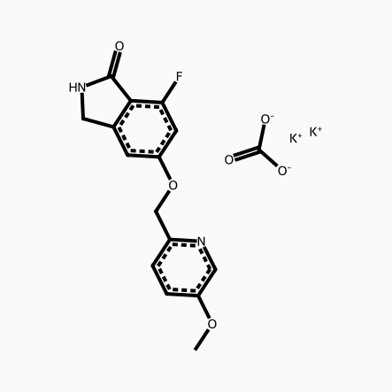 COc1ccc(COc2cc(F)c3c(c2)CNC3=O)nc1.O=C([O-])[O-].[K+].[K+]